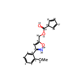 COc1ccccc1-c1cc(COC(=O)C2C=CC=C2)on1